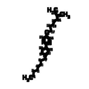 CCCCCCCCc1ccc(-c2ncc(OCCCCCC(C)CC)cn2)cc1